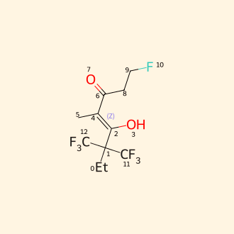 CCC(/C(O)=C(\C)C(=O)CCF)(C(F)(F)F)C(F)(F)F